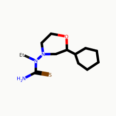 CCN(C(N)=S)N1CCOC(C2CCCCC2)C1